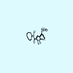 CNc1ccnc2[nH]c(C(=O)NC3CCCCCCC3)cc12